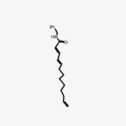 C=CCCCCCCC=CC=CC(=O)NCC(C)C